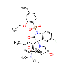 COc1ccc(S(=O)(=O)N2C(=O)C(c3cc(C)ccc3OC)(N3C[C@H](O)C[C@H]3C(=O)N(C)C)c3cc(Cl)ccc32)c(OCC(F)(F)F)c1